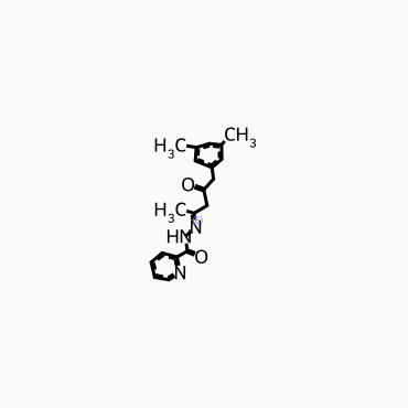 C/C(CC(=O)Cc1cc(C)cc(C)c1)=N\NC(=O)c1ccccn1